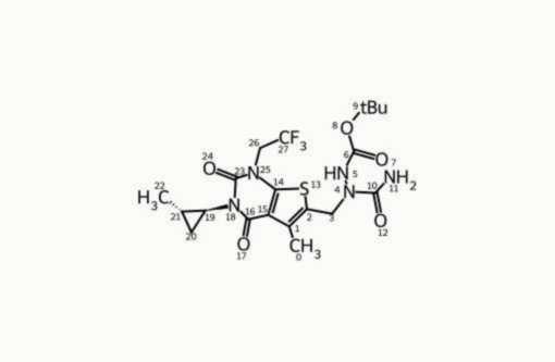 Cc1c(CN(NC(=O)OC(C)(C)C)C(N)=O)sc2c1c(=O)n([C@H]1C[C@@H]1C)c(=O)n2CC(F)(F)F